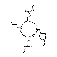 C=Cc1ccc(CN2CCCN(CCC(=O)OCC)CCN(CCCC)CCCN(CCC(=O)OCC)CC2)cc1